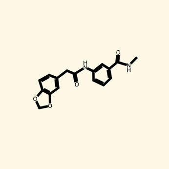 CNC(=O)c1cccc(NC(=O)Cc2ccc3c(c2)OCO3)c1